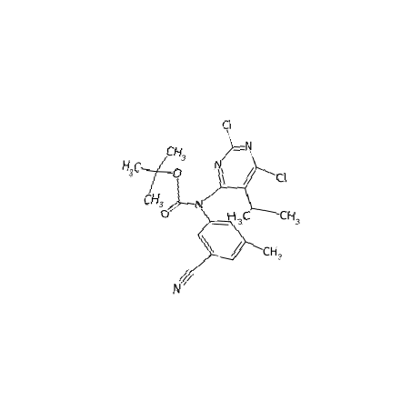 Cc1cc(C#N)cc(N(C(=O)OC(C)(C)C)c2nc(Cl)nc(Cl)c2C(C)C)c1